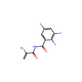 C=C(Br)C(=O)NC(=O)c1cc(I)cc(I)c1I